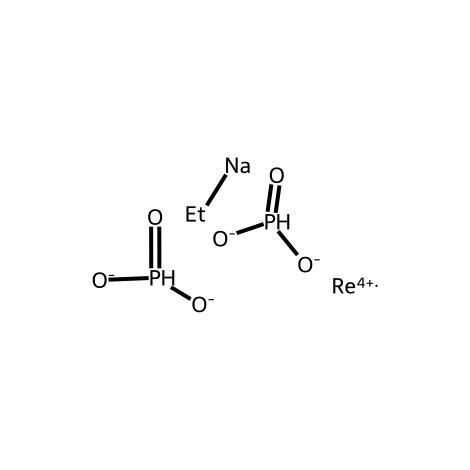 C[CH2][Na].O=[PH]([O-])[O-].O=[PH]([O-])[O-].[Re+4]